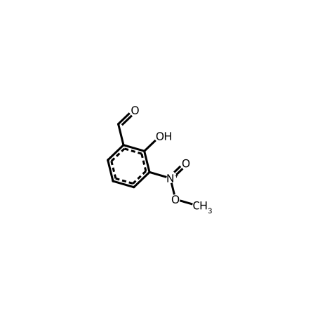 CO[N+](=O)c1cccc(C=O)c1O